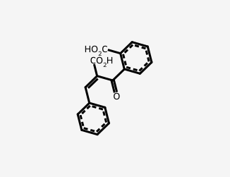 O=C(O)C(=Cc1ccccc1)C(=O)c1ccccc1C(=O)O